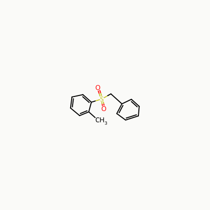 Cc1ccccc1S(=O)(=O)Cc1ccccc1